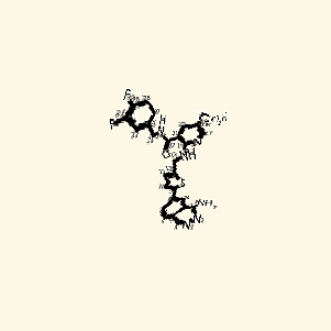 Nc1nncc2ccc(-c3ccc(CNc4ncc(C(=O)O)cc4C(=O)NCc4ccc(F)c(F)c4)s3)cc12